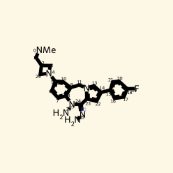 CNCC1CN(c2ccc3c(c2)Cn2cc(-c4ccc(F)cc4)cc2/C(=N/N)N3N)C1